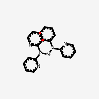 c1ccc(P([N]P(c2ccccn2)c2ccccn2)c2ccccn2)nc1